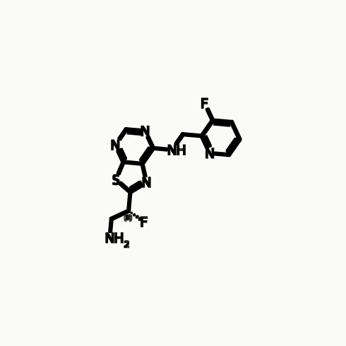 NC[C@@H](F)c1nc2c(NCc3ncccc3F)ncnc2s1